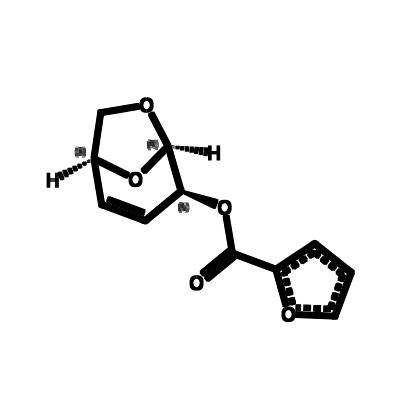 O=C(O[C@H]1C=C[C@H]2CO[C@@H]1O2)c1ccco1